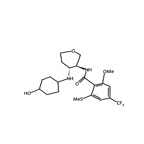 COc1cc(C(F)(F)F)cc(SC)c1C(=O)N[C@@H]1COCC[C@H]1NC1CCC(O)CC1